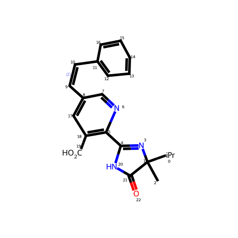 CC(C)C1(C)N=C(c2ncc(/C=C\c3ccccc3)cc2C(=O)O)NC1=O